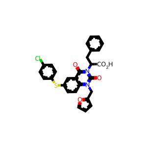 O=C(O)C(Cc1ccccc1)n1c(=O)c2cc(Sc3ccc(Cl)cc3)ccc2n(Cc2ccco2)c1=O